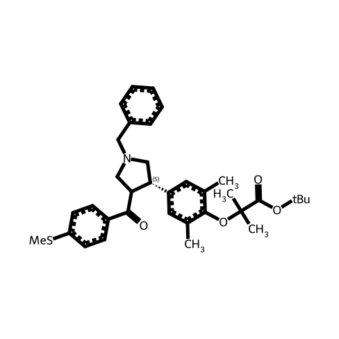 CSc1ccc(C(=O)C2CN(Cc3ccccc3)C[C@@H]2c2cc(C)c(OC(C)(C)C(=O)OC(C)(C)C)c(C)c2)cc1